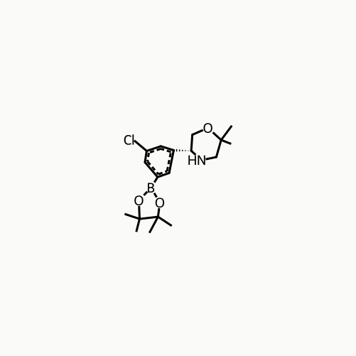 CC1(C)CN[C@H](c2cc(Cl)cc(B3OC(C)(C)C(C)(C)O3)c2)CO1